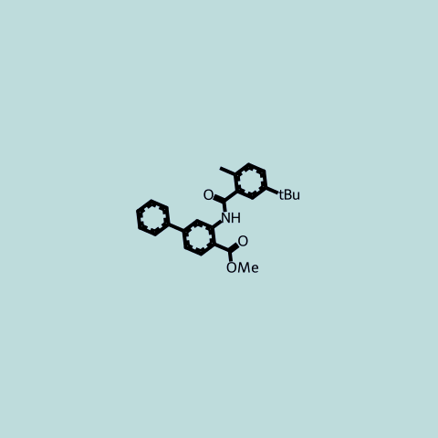 COC(=O)c1ccc(-c2ccccc2)cc1NC(=O)c1cc(C(C)(C)C)ccc1C